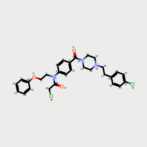 O=C(c1ccc(N(CCOc2ccccc2)C(=O)CCl)cc1)N1CCN(CCc2ccc(Cl)cc2)CC1